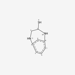 SC1CNc2cccc(c2)N1